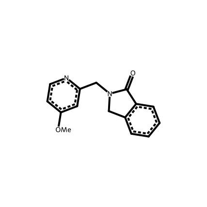 COc1ccnc(CN2Cc3ccccc3C2=O)c1